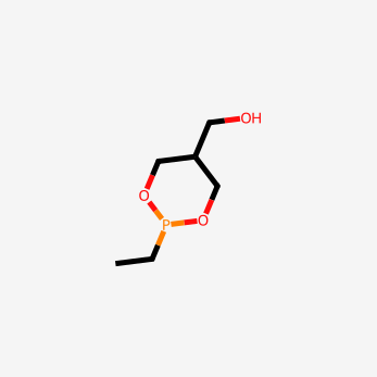 CCP1OCC(CO)CO1